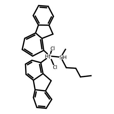 CCCC[SiH](C)[Hf]([Cl])([Cl])([c]1cccc2c1Cc1ccccc1-2)[c]1cccc2c1Cc1ccccc1-2